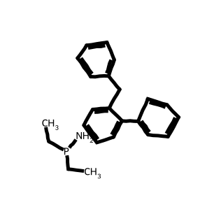 CCP(N)CC.c1ccc(Cc2ccccc2-c2ccccc2)cc1